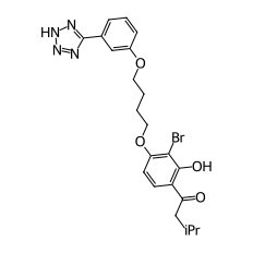 CC(C)CC(=O)c1ccc(OCCCCOc2cccc(-c3nn[nH]n3)c2)c(Br)c1O